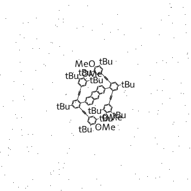 COc1c(C(C)(C)C)cc(C#Cc2cc(C(C)(C)C)cc(C#Cc3cc(C(C)(C)C)c(OC)c(C(C)(C)C)c3)c2-c2ccc3cc4cc(-c5c(C#Cc6cc(C(C)(C)C)c(OC)c(C(C)(C)C)c6)cc(C(C)(C)C)cc5C#Cc5cc(C(C)(C)C)c(OC)c(C(C)(C)C)c5)ccc4cc3c2)cc1C(C)(C)C